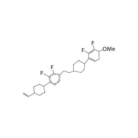 C=CC1CCC(c2ccc(CCC3CCC(C4=CCC(OC)C(F)=C4F)CC3)c(F)c2F)CC1